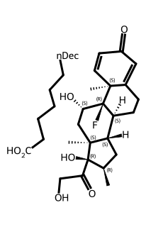 CCCCCCCCCCCCCCCC(=O)O.C[C@@H]1C[C@H]2[C@@H]3CCC4=CC(=O)C=C[C@]4(C)[C@@]3(F)[C@@H](O)C[C@]2(C)[C@@]1(O)C(=O)CO